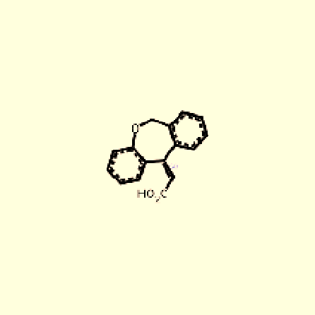 O=C(O)/C=C1/c2ccccc2COc2ccccc21